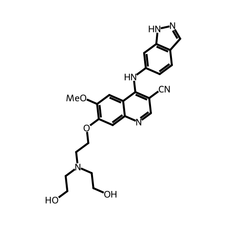 COc1cc2c(Nc3ccc4cn[nH]c4c3)c(C#N)cnc2cc1OCCN(CCO)CCO